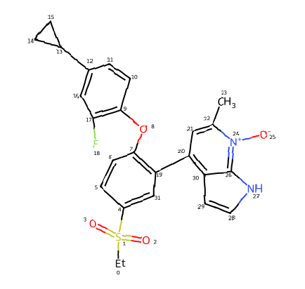 CCS(=O)(=O)c1ccc(Oc2ccc(C3CC3)cc2F)c(-c2cc(C)[n+]([O-])c3[nH]ccc23)c1